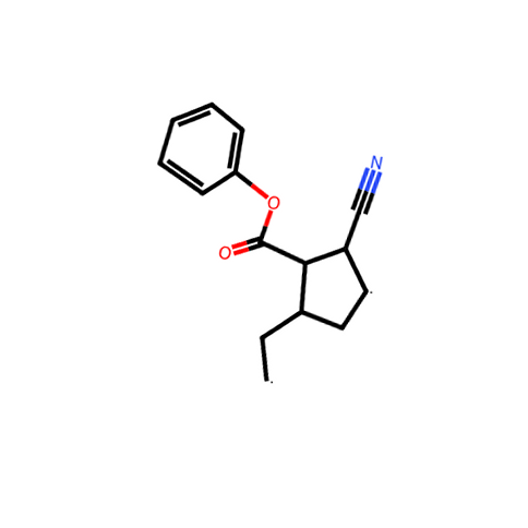 [CH2]CC1C[CH]C(C#N)C1C(=O)Oc1ccccc1